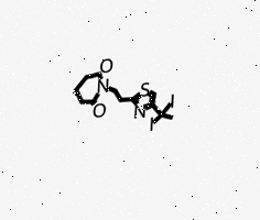 CC(I)(I)c1csc(CCN2C(=O)CCCC2=O)n1